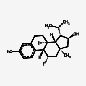 CC(C)[C@H]1[C@H]2[C@@H]3CCc4cc(O)ccc4[C@H]3[C@@H](F)C[C@]2(C)C[C@@H]1O